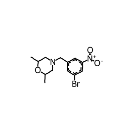 CC1CN(Cc2cc(Br)cc([N+](=O)[O-])c2)CC(C)O1